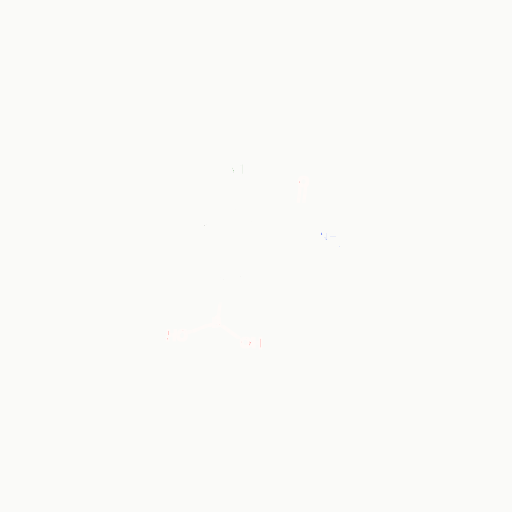 NC(=O)c1cc(B(O)O)ccc1Cl